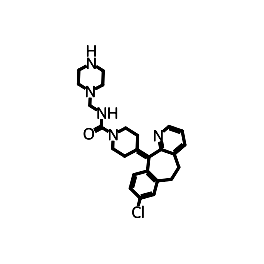 O=C(NCN1CCNCC1)N1CCC(=C2c3ccc(Cl)cc3CCc3cccnc32)CC1